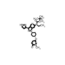 CCN(C(=O)OC(C)(C)C)c1cc2c(cn1)c(-c1cc[nH]n1)nn2[C@H]1CC[C@@H](Oc2ccc(=O)n(C)n2)CC1